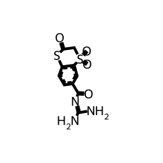 NC(N)=NC(=O)c1ccc2c(c1)S(=O)(=O)CC(=O)S2